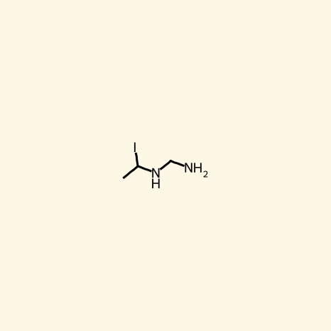 CC(I)NCN